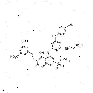 Cc1cc2cc(S(=O)(=O)ON)cc(Nc3nc(NCCS(=O)(=O)O)nc(Nc4ccc(O)cc4)n3)c2c(O)c1N=Nc1cc(C(=O)O)cc(C(=O)O)c1